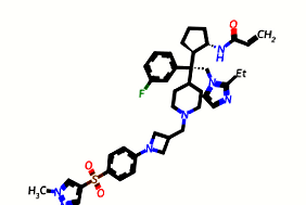 C=CC(=O)N[C@H]1CCC[C@@H]1[C@](Cn1ccnc1CC)(c1cccc(F)c1)C1CCN(CC2CN(c3ccc(S(=O)(=O)c4cnn(C)c4)cc3)C2)CC1